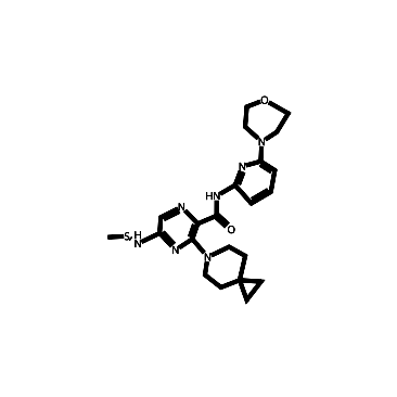 CSNc1cnc(C(=O)Nc2cccc(N3CCOCC3)n2)c(N2CCC3(CC2)CC3)n1